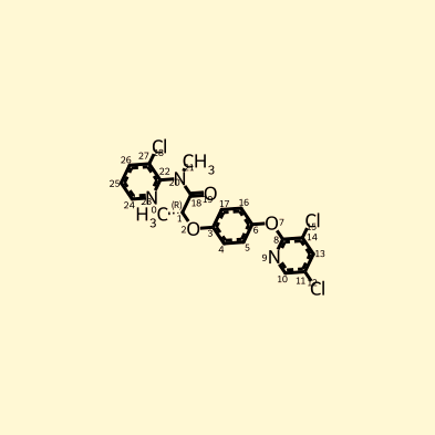 C[C@@H](Oc1ccc(Oc2ncc(Cl)cc2Cl)cc1)C(=O)N(C)c1ncccc1Cl